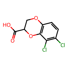 O=C(O)C1COc2ccc(Cl)c(Cl)c2O1